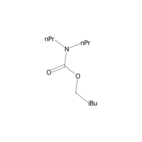 CCCN(CCC)C(=O)OCC(C)CC